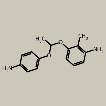 Cc1c(N)cccc1OC(C)Oc1ccc(N)cc1